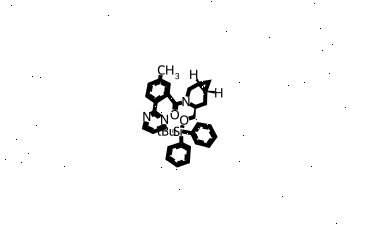 Cc1ccc(-c2ncccn2)c(C(=O)N2C[C@@H]3C[C@@H]3C[C@H]2CO[Si](c2ccccc2)(c2ccccc2)C(C)(C)C)c1